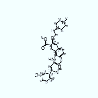 COC(=O)c1cc2c(Nc3cc(-c4cc(Cl)ccc4F)nnc3C)ccnc2cc1OCCN1CCN(C)CC1